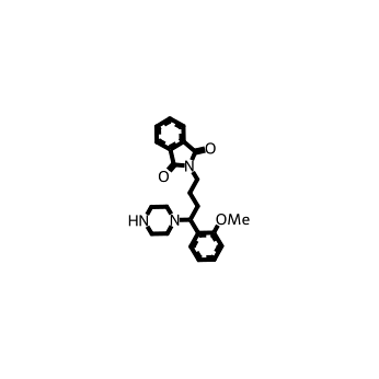 COc1ccccc1C(CCCN1C(=O)c2ccccc2C1=O)N1CCNCC1